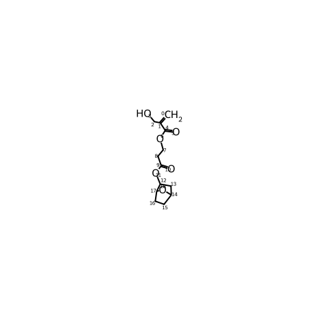 C=C(CO)C(=O)OCCC(=O)OC1CC2CCC1O2